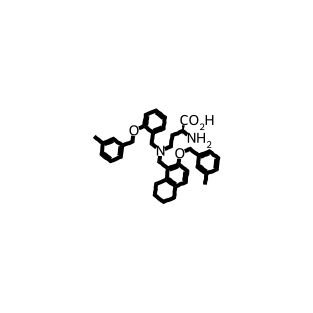 Cc1cccc(COc2ccccc2CN(CC[C@H](N)C(=O)O)Cc2c(OCc3cccc(C)c3)ccc3c2CCCC3)c1